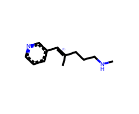 CNCCC/C(C)=C/c1cccnc1